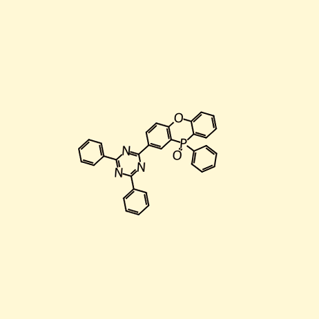 O=P1(c2ccccc2)c2ccccc2Oc2ccc(-c3nc(-c4ccccc4)nc(-c4ccccc4)n3)cc21